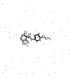 COc1ccc(CNc2c(Cl)cnn(C)c2=O)cc1